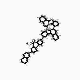 CC1(C)c2cc(-c3ccc4ccccc4c3)ccc2-c2ccc(-c3ccc4c(c3)c3c5ccccc5ccc3n4-c3nc4ccccc4c4nc5ccccc5n34)cc21